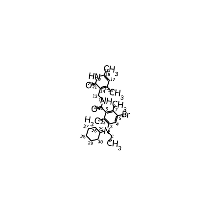 CCN(c1cc(Br)c(C)c(C(=O)NCc2c(C)cc(C)[nH]c2=O)c1C)C1CCCCC1